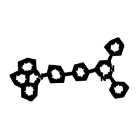 c1ccc(-c2cc(-c3ccc(-c4ccc(-n5c6cccc7ccc8cccc5c8c76)cc4)cc3)nc(-c3ccccc3)n2)cc1